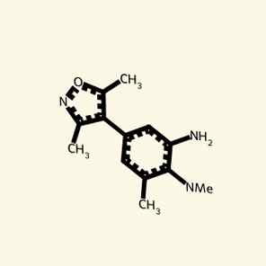 CNc1c(C)cc(-c2c(C)noc2C)cc1N